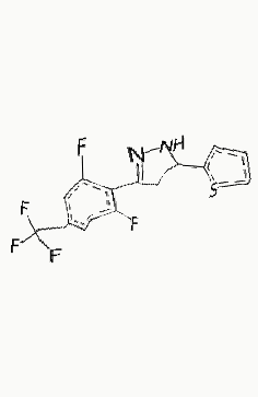 Fc1cc(C(F)(F)F)cc(F)c1C1=NNC(c2cccs2)C1